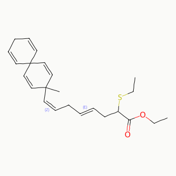 CCOC(=O)C(C/C=C/C/C=C\C1(C)C=CC2(C=CCC=C2)C=C1)SCC